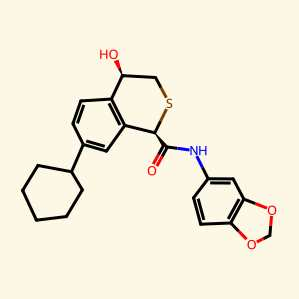 O=C(Nc1ccc2c(c1)OCO2)[C@@H]1SC[C@H](O)c2ccc(C3CCCCC3)cc21